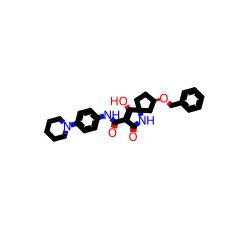 O=C(Nc1ccc(N2CCCCC2)cc1)C1=C(O)C2(CC[C@@H](OCc3ccccc3)C2)NC1=O